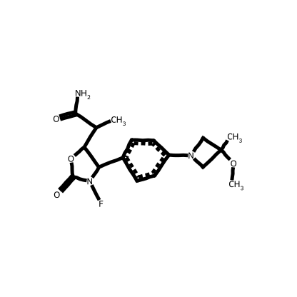 COC1(C)CN(c2ccc(C3C(C(C)C(N)=O)OC(=O)N3F)cc2)C1